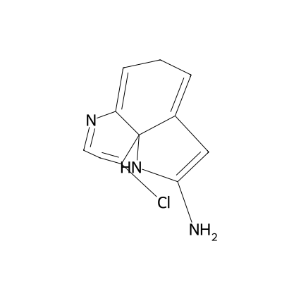 NC1=CC2=CCC=C3N=CC=C(Cl)C23N1